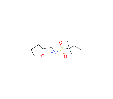 CCC(C)(C)S(=O)(=O)NCC1CCCO1